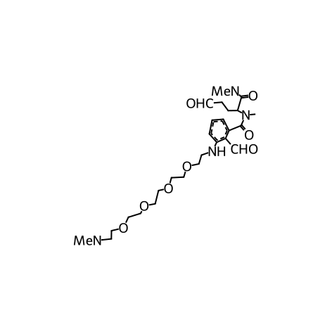 CNCCOCCOCCOCCOCCNc1cccc(C(=O)N(C)C(CCC=O)C(=O)NC)c1C=O